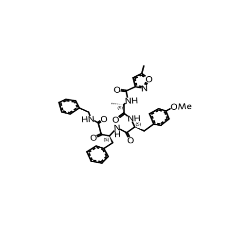 COc1ccc(C[C@H](NC(=O)[C@H](C)NC(=O)c2cc(C)on2)C(=O)N[C@@H](Cc2ccccc2)C(=O)C(=O)NCc2ccccc2)cc1